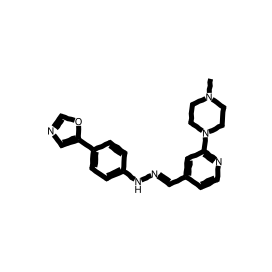 CN1CCN(c2cc(C=NNc3ccc(-c4cnco4)cc3)ccn2)CC1